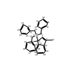 CC1=C[C](C)([Ti]([CH2]c2ccccc2)([CH2]c2ccccc2)[CH2]c2ccccc2)c2ccccc21